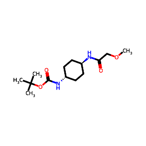 COCC(=O)N[C@H]1CC[C@H](NC(=O)OC(C)(C)C)CC1